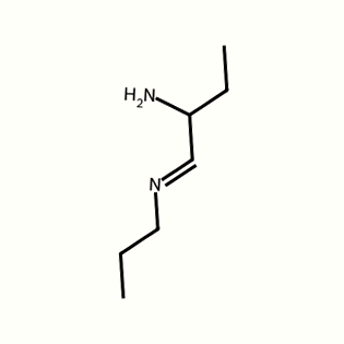 CCCN=CC(N)CC